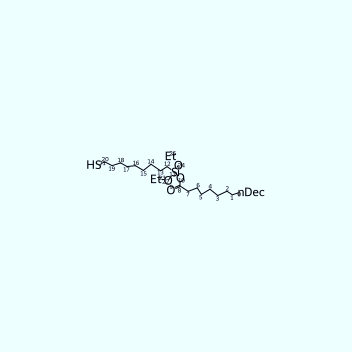 CCCCCCCCCCCCCCCCCC(=O)O[Si](CCCCCCCCCS)(OCC)OCC